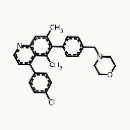 Cc1cc2nccc(-c3ccc(Cl)cc3)c2c(C)c1-c1ccc(CN2CCOCC2)cc1